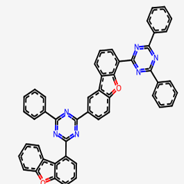 c1ccc(-c2nc(-c3ccccc3)nc(-c3cccc4c3oc3ccc(-c5nc(-c6ccccc6)nc(-c6cccc7oc8ccccc8c67)n5)cc34)n2)cc1